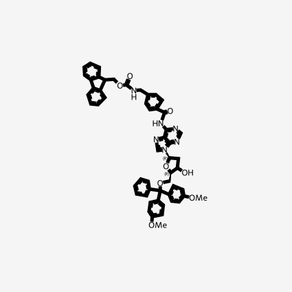 COc1ccc(C(OC[C@H]2O[C@@H](n3cnc4c(NC(=O)c5ccc(CNC(=O)OCC6c7ccccc7-c7ccccc76)cc5)ncnc43)CC2O)(c2ccccc2)c2ccc(OC)cc2)cc1